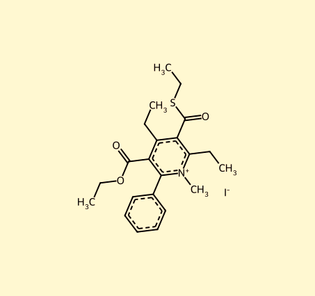 CCOC(=O)c1c(CC)c(C(=O)SCC)c(CC)[n+](C)c1-c1ccccc1.[I-]